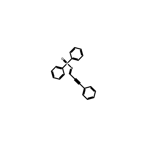 O=P(/N=C/C#Cc1ccccc1)(c1ccccc1)c1ccccc1